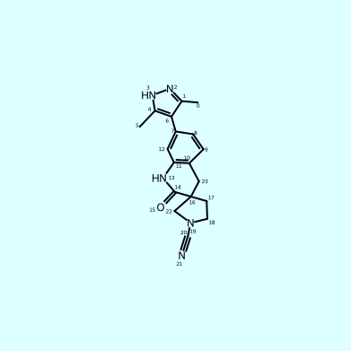 Cc1n[nH]c(C)c1-c1ccc2c(c1)NC(=O)C1(CCN(C#N)C1)C2